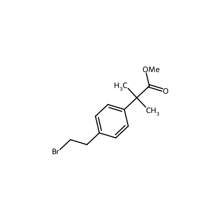 COC(=O)C(C)(C)c1ccc(CCBr)cc1